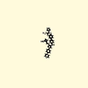 C[C@@H](Cn1cnnn1)Oc1cc(-c2cnc(Nc3cn(C4CCC(N5CCOCC5)CC4)nc3OCC3CCC3O)nc2)ccc1Cl